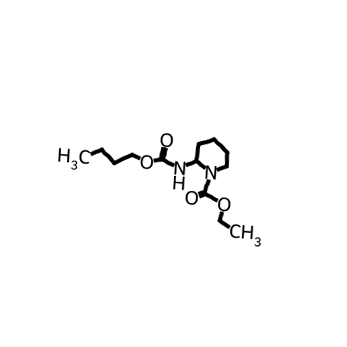 CCCCOC(=O)NC1CCCCN1C(=O)OCC